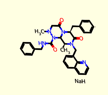 C[C@H]1C2N(C(=O)CN(C)N2C(=O)NCc2ccccc2)[C@@H](Cc2cc[c]cc2)C(=O)N1Cc1cccc2cccnc12.[NaH]